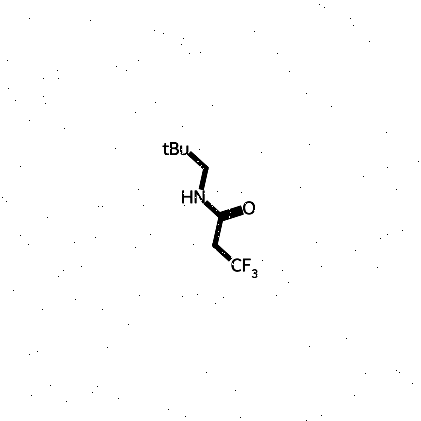 CC(C)(C)CNC(=O)CC(F)(F)F